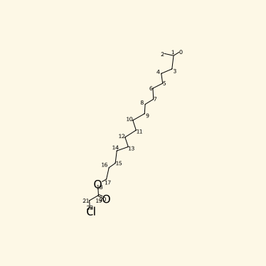 CC(C)CCCCCCCCCCCCCCCOC(=O)CCl